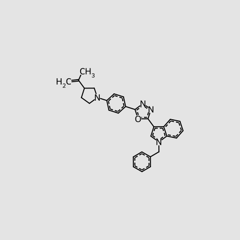 C=C(C)C1CCN(c2ccc(-c3nnc(-c4cn(Cc5ccccc5)c5ccccc45)o3)cc2)C1